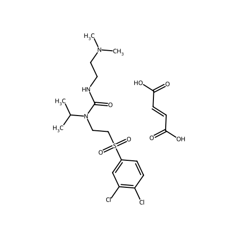 CC(C)N(CCS(=O)(=O)c1ccc(Cl)c(Cl)c1)C(=O)NCCN(C)C.O=C(O)C=CC(=O)O